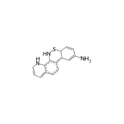 NC1=CC2=c3ccc4c(c3NSC2C=C1)NC=CC=4